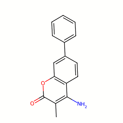 Cc1c(N)c2ccc(-c3ccccc3)cc2oc1=O